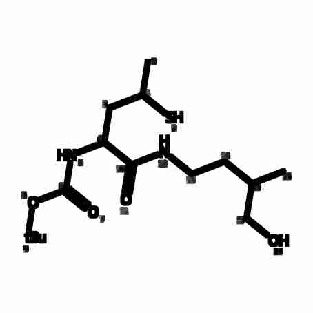 CC(S)CC(NC(=O)OC(C)(C)C)C(=O)NCCC(C)CO